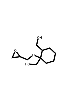 OCC1CCCCC1(CO)OCC1CO1